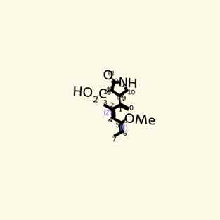 C=C(/C(C)=C\C(=C/C)OC)[C@@H]1CNC(=O)[C@H]1C(=O)O